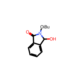 CC(C)CON1C(=O)c2ccccc2C1O